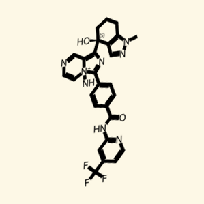 Cn1ncc2c1CCC[C@@]2(O)C1=C2C=NC=C[N+]2(N)C(c2ccc(C(=O)Nc3cc(C(F)(F)F)ccn3)cc2)=N1